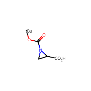 CC(C)(C)OC(=O)N1CC1C(=O)O